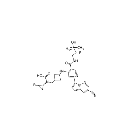 CC(C)(O)[C@H](F)CNC(=O)c1cnc(-c2ccc3cc(C#N)cnn23)cc1NC1CC(CN(C(=O)O)[C@H]2C[C@H]2F)C1